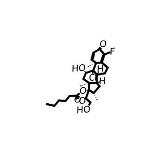 CCCCCC(=O)O[C@@]1(C(=O)CO)[C@@H](C)C[C@H]2[C@@H]3CCC4=C(F)C(=O)C=C[C@]4(C)[C@@]3(Cl)[C@@H](O)C[C@@]21C